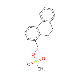 CS(=O)(=O)OCc1cccc2c1CCc1ccccc1-2